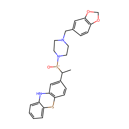 CC(c1ccc2c(c1)Nc1ccccc1S2)[S+]([O-])N1CCN(Cc2ccc3c(c2)OCO3)CC1